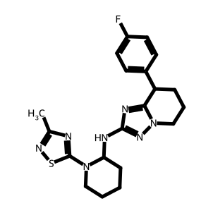 Cc1nsc(N2CCCCC2Nc2nc3n(n2)CCCC3c2ccc(F)cc2)n1